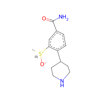 C[S@@+]([O-])c1cc(C(N)=O)ccc1C1CCNCC1